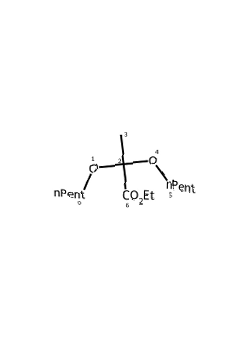 CCCCCOC(C)(OCCCCC)C(=O)OCC